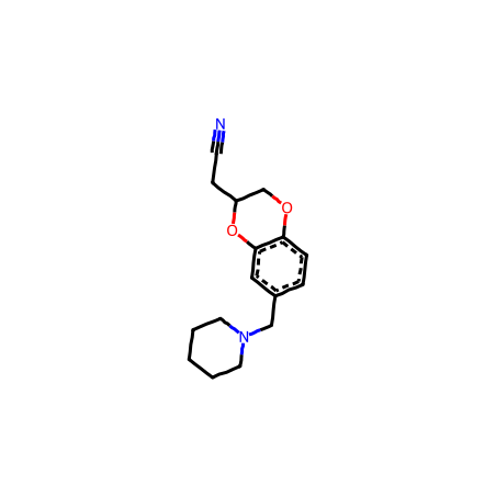 N#CCC1COc2ccc(CN3CCCCC3)cc2O1